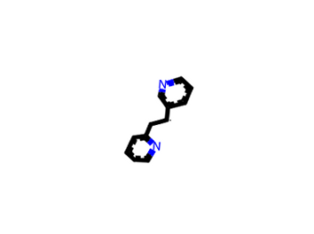 [CH](Cc1ccccn1)c1cccnc1